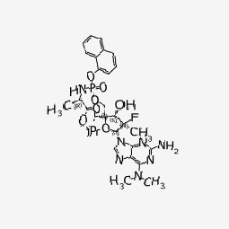 CC(C)OC(=O)[C@@H](C)NP(=O)(OC[C@@]1(F)O[C@@H](n2cnc3c(N(C)C)nc(N)nc32)[C@](C)(F)[C@@H]1O)Oc1cccc2ccccc12